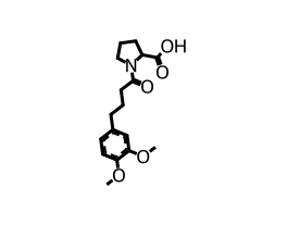 COc1ccc(CCCC(=O)N2CCCC2C(=O)O)cc1OC